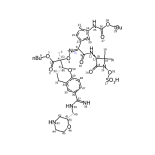 CCCCOC(=O)[C@@](C)(O/N=C(\C(=O)N[C@@H]1C(=O)N(OS(=O)(=O)O)C1(C)C)c1csc(NC(=O)OC(C)(C)C)n1)[C@H]1CCc2cc(C(=N)NC[C@H]3CNCCO3)ccc2O1